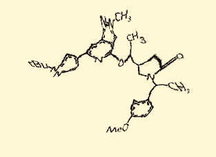 COc1ccc(C(C)N2CC(C(C)Oc3nc(-c4cnn(C(C)(C)C)c4)cc4nn(C)cc34)CC2=O)cc1